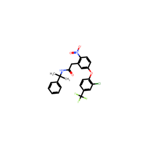 CC(C)(NC(=O)Cc1cc(Oc2ccc(C(F)(F)F)cc2Cl)ccc1[N+](=O)[O-])c1ccccc1